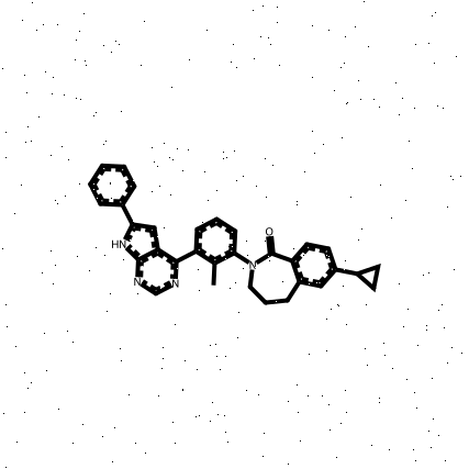 Cc1c(-c2ncnc3[nH]c(-c4ccccc4)cc23)cccc1N1CCCc2cc(C3CC3)ccc2C1=O